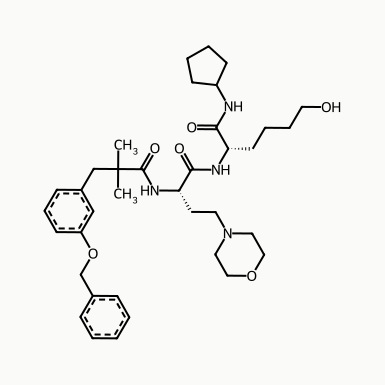 CC(C)(Cc1cccc(OCc2ccccc2)c1)C(=O)N[C@@H](CCN1CCOCC1)C(=O)N[C@@H](CCCCO)C(=O)NC1CCCC1